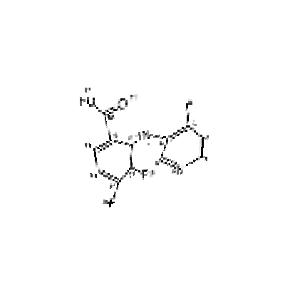 Cc1ccncc1NC1C(C(=O)O)=CC=C(F)C1F